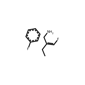 CCC(=CF)CN.Fc1ccccc1